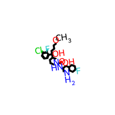 COCCCCC(O)(c1cccc(Cl)c1F)C1CCCN(C(=O)NC(CN)C(O)C2CCC(F)CC2)C1